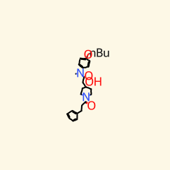 CCCCOc1ccc(N(C)C(=O)CC2(O)CCN(C(=O)CCc3ccccc3)CC2)cc1